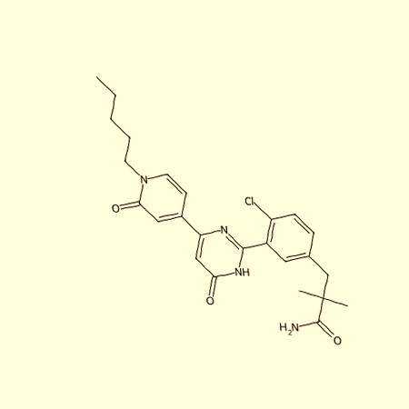 CCCCCn1ccc(-c2cc(=O)[nH]c(-c3cc(CC(C)(C)C(N)=O)ccc3Cl)n2)cc1=O